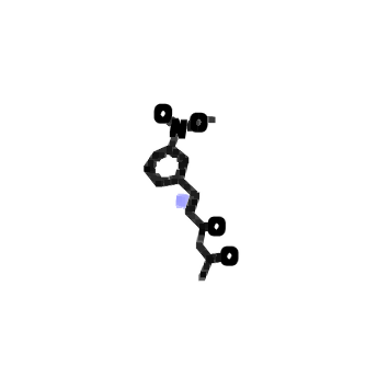 CC(=O)CC(=O)/C=C/c1cccc([N+](=O)[O-])c1